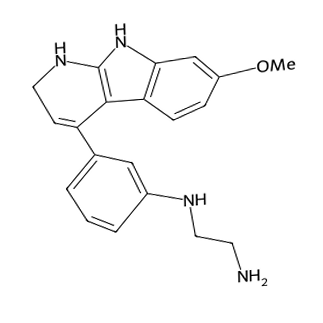 COc1ccc2c3c([nH]c2c1)NCC=C3c1cccc(NCCN)c1